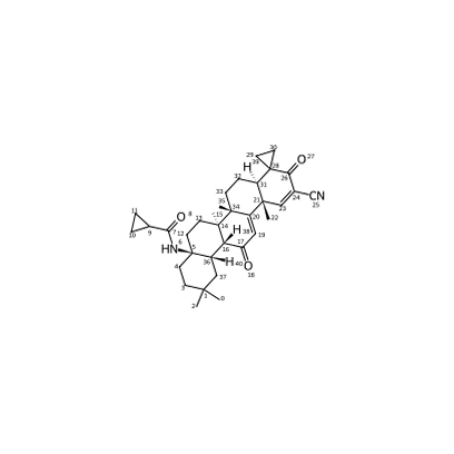 CC1(C)CC[C@]2(NC(=O)C3CC3)CC[C@]3(C)[C@H](C(=O)C=C4[C@@]5(C)C=C(C#N)C(=O)C6(CC6)[C@@H]5CC[C@]43C)[C@@H]2C1